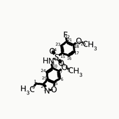 CCc1noc2cc(OC)c(NS(=O)(=O)c3ccc(OC)c(F)c3)cc12